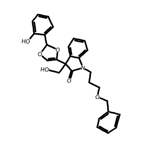 O=C1N(CCCOCc2ccccc2)c2ccccc2C1(CO)C1=COC(c2ccccc2O)O1